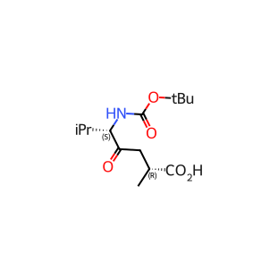 CC(C)[C@H](NC(=O)OC(C)(C)C)C(=O)C[C@@H](C)C(=O)O